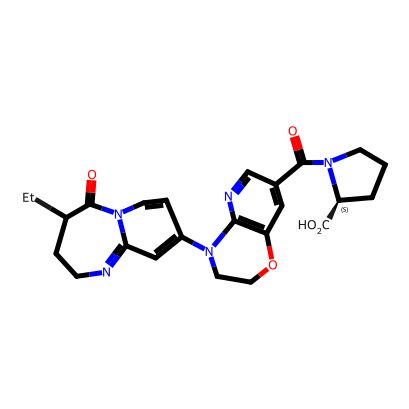 CCC1CCN=C2C=C(N3CCOc4cc(C(=O)N5CCC[C@H]5C(=O)O)cnc43)C=CN2C1=O